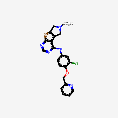 CCOC(=O)N1Cc2sc3ncnc(Nc4ccc(OCc5ccccn5)c(Cl)c4)c3c2C1